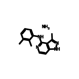 Cc1cccc(Nc2nccc3[nH]nc(C)c23)c1C.N